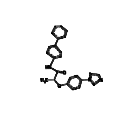 CC(Oc1ccc(-n2ccnc2)cc1)C(=O)Nc1ccc(-c2ccccc2)cc1